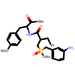 CNC(=O)C(Cc1ccc(OC)cc1)NC(=O)C(CC(C)C)CP(=O)(Cc1cccc(N)c1)OC